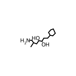 CC(CN)C[C@H](O)[C@H](O)CCC1CCCCC1